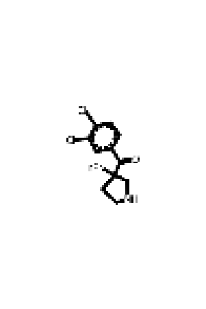 CCCC1(C(=O)c2ccc(Cl)c(Cl)c2)CCNC1